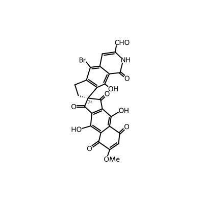 COC1=CC(=O)c2c(O)c3c(c(O)c2C1=O)C(=O)[C@]1(CCc2c1c(O)c1c(=O)[nH]c(C=O)cc1c2Br)C3=O